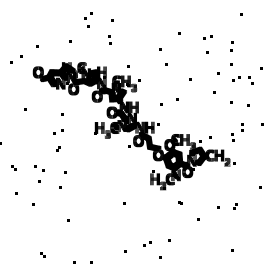 C=Nc1cc(OCCCC(=O)Nc2cn(C)c(C(=O)Nc3cc(C(=O)Nc4cc(C(=O)n5ccc6cc(C=O)cnc65)n(C)c4)n(C)c3)n2)c(OC)cc1C(=O)N1CCC(=C)C1